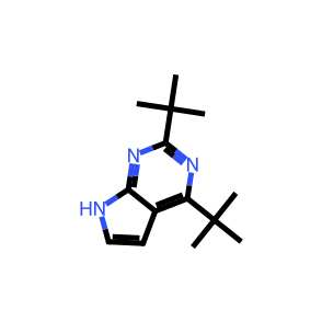 CC(C)(C)c1nc(C(C)(C)C)c2cc[nH]c2n1